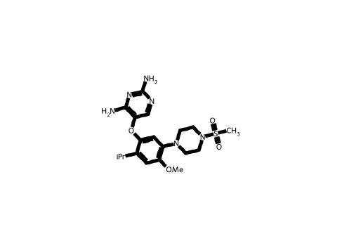 COc1cc(C(C)C)c(Oc2cnc(N)nc2N)cc1N1CCN(S(C)(=O)=O)CC1